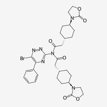 O=C(C[C@H]1CC[C@H](N2CCOC2=O)CC1)N(C(=O)C[C@H]1CC[C@H](N2CCOC2=O)CC1)c1nnc(Br)c(-c2ccccc2)n1